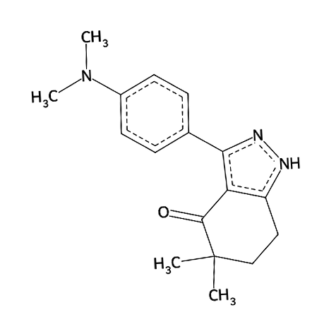 CN(C)c1ccc(-c2n[nH]c3c2C(=O)C(C)(C)CC3)cc1